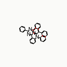 c1ccc(-c2nc(-c3ccccc3)nc(-c3ccccc3N(c3ccccc3)c3ccccc3-c3ccccc3)n2)cc1